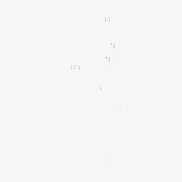 COc1cc2cc(Nc3cc(C)[nH]n3)nc(OC3CCOC3)c2cc1OC